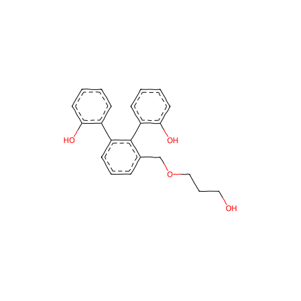 OCCCOCc1cccc(-c2ccccc2O)c1-c1ccccc1O